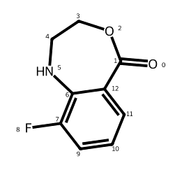 O=C1OCCNc2c(F)cccc21